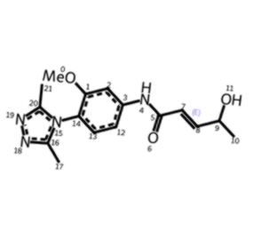 COc1cc(NC(=O)/C=C/C(C)O)ccc1-n1c(C)nnc1C